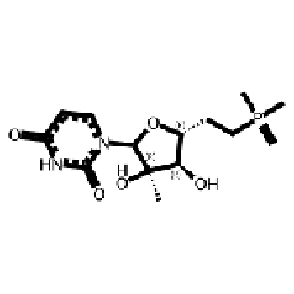 C=P(C)(C)CC[C@H]1OC(n2ccc(=O)[nH]c2=O)[C@](C)(O)[C@@H]1O